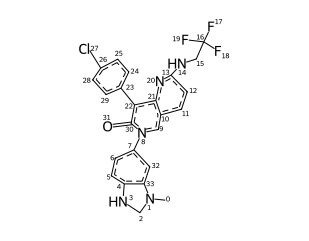 CN1CNc2ccc(-n3cc4ccc(NCC(F)(F)F)nc4c(-c4ccc(Cl)cc4)c3=O)cc21